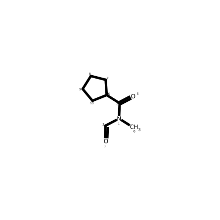 CN(C=O)C(=O)C1CCCC1